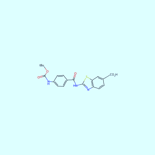 CC(C)(C)OC(=O)Nc1ccc(C(=O)Nc2nc3ccc(C(=O)O)cc3s2)cc1